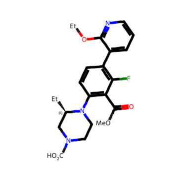 CCOc1ncccc1-c1ccc(N2CCN(C(=O)O)C[C@H]2CC)c(C(=O)OC)c1F